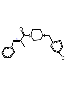 C/C(=C\c1ccccc1)C(=O)N1CCN(Cc2ccc(Cl)cc2)CC1